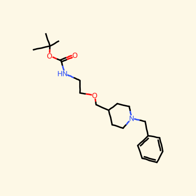 CC(C)(C)OC(=O)NCCOCC1CCN(Cc2ccccc2)CC1